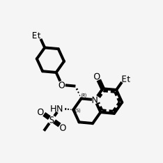 CCc1ccc2n(c1=O)[C@@H](COC1CCC(CC)CC1)[C@@H](NS(C)(=O)=O)CC2